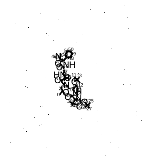 CCC[C@H](NC(=O)[C@@H]1[C@@H](OC(C)(C)C)CCN1C(=O)[C@@H](NC(=O)OC(C)(C)C)C(C)(C)C)C(=O)C(=O)NCC(=O)NC(C(=O)N(C)C)c1ccccc1